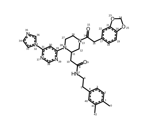 Cc1ccc(CCNC(=O)CC2CN(C(=O)Cc3ccc4c(c3)OCO4)CCN2c2cc(-n3ccnc3)ncn2)cc1C